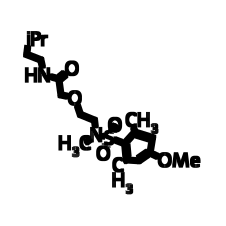 COc1cc(C)c(S(=O)(=O)N(C)CCOCC(=O)NCCC(C)C)c(C)c1